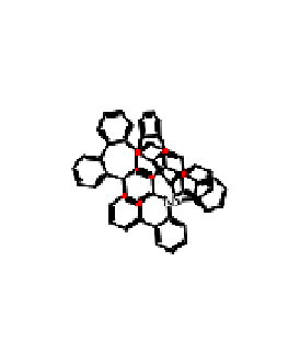 c1ccc(-c2ccccc2N(c2ccc3c(c2)C2(c4ccccc4-c4ccccc4-3)c3ccccc3-c3cc4c(cc32)sc2ccccc24)c2ccccc2-c2ccccc2)cc1